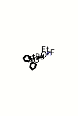 CC/C(F)=C\OCCO[Si](c1ccccc1)(c1ccccc1)C(C)(C)C